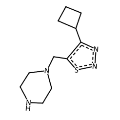 C1CC(c2nnsc2CN2CCNCC2)C1